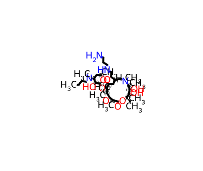 CCCCN(C)[C@H]1C[C@@H](C)O[C@@H](O[C@@H]2[C@@H](C)C(=O)[C@@H](C)C(=O)O[C@H](CC)[C@@](C)(O)[C@H](O)[C@@H](C)N(C)C[C@H]3C[C@@]2(C)OC3CNCCCN)[C@@H]1O